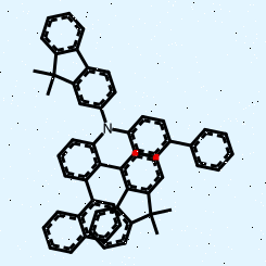 CC1(C)c2ccccc2-c2ccc(N(c3ccc(-c4ccccc4)cc3)c3cccc(-c4cccc5ccccc45)c3-c3cccc4c3-c3ccccc3C4(C)C)cc21